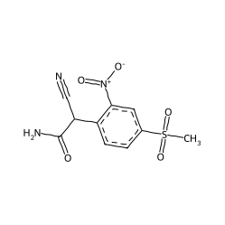 CS(=O)(=O)c1ccc(C(C#N)C(N)=O)c([N+](=O)[O-])c1